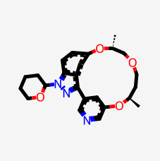 C[C@@H]1CCOC[C@@H](C)Oc2ccc3c(c2)c(nn3C2CCCCO2)-c2cncc(c2)O1